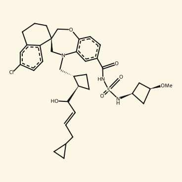 CO[C@H]1C[C@@H](NS(=O)(=O)NC(=O)c2ccc3c(c2)N(C[C@@H]2CC[C@H]2C(O)/C=C/CC2CC2)C[C@@]2(CCCc4cc(Cl)ccc42)CO3)C1